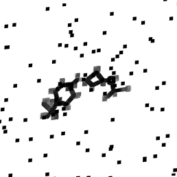 CC(C)O[C@H]1C[C@H](CN2CCN(C(C)(C)C)CC2)C1